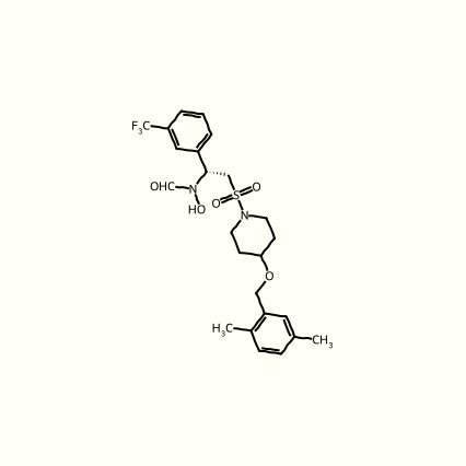 Cc1ccc(C)c(COC2CCN(S(=O)(=O)C[C@@H](c3cccc(C(F)(F)F)c3)N(O)C=O)CC2)c1